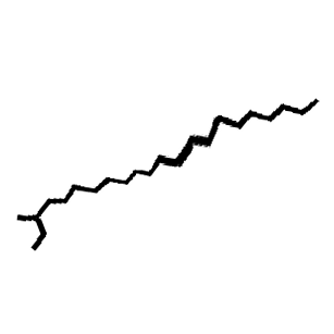 CCCCCCCCC=CCCCCCCCCCC(C)CC